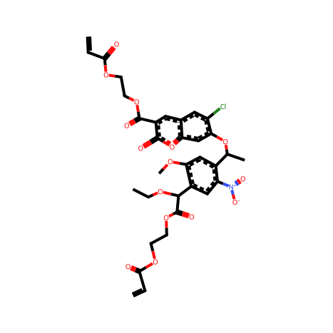 C=CC(=O)OCCOC(=O)c1cc2cc(Cl)c(OC(C)c3cc(OC)c(C(OCC)C(=O)OCCOC(=O)C=C)cc3[N+](=O)[O-])cc2oc1=O